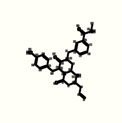 C=CCN1CC(=O)N2C(CN(Cc3cccc(C(=O)NC)c3)C(=O)[C@@H]2Cc2ccc(O)cc2)N1